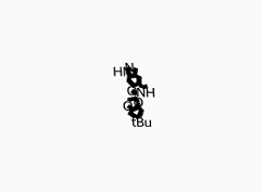 CC(NC(=O)[C@H]1COc2cc(C(C)(C)C)ccc2O1)c1ccc2[nH]ncc2c1